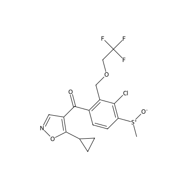 C[S+]([O-])c1ccc(C(=O)c2cnoc2C2CC2)c(COCC(F)(F)F)c1Cl